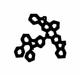 c1ccc(-c2cc3sc4ccccc4c3cc2N(c2ccc3oc4ccccc4c3c2)c2ccc3c(c2)c2cccc(-c4ccccc4)c2n3-c2ccccc2)cc1